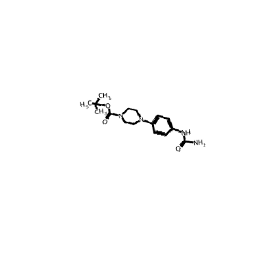 CC(C)(C)OC(=O)N1CCN(c2ccc(NC(N)=O)cc2)CC1